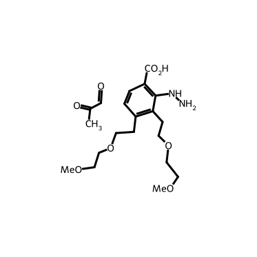 CC(=O)C=O.COCCOCCc1ccc(C(=O)O)c(NN)c1CCOCCOC